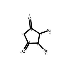 O=C1CC(=O)C(Br)C1Br